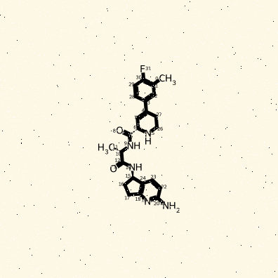 Cc1cc(C2=C[C@@H](C(=O)N[C@@H](C)C(=O)N[C@@H]3CCc4nc(N)ccc43)NCC2)ccc1F